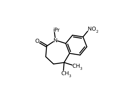 CC(C)N1C(=O)CCC(C)(C)c2ccc([N+](=O)[O-])cc21